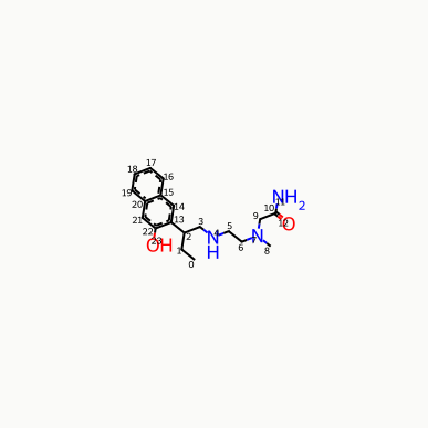 CCC(CNCCN(C)CC(N)=O)c1cc2ccccc2cc1O